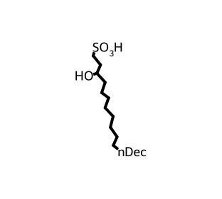 CCCCCCCCCCCCCCCCCCC(O)CCS(=O)(=O)O